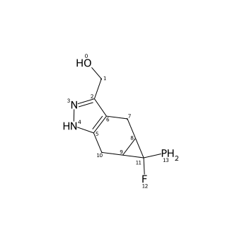 OCc1n[nH]c2c1CC1C(C2)C1(F)P